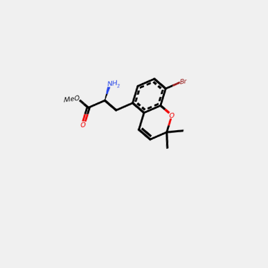 COC(=O)[C@@H](N)Cc1ccc(Br)c2c1C=CC(C)(C)O2